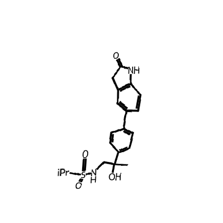 CC(C)S(=O)(=O)NCC(C)(O)c1ccc(-c2ccc3c(c2)CC(=O)N3)cc1